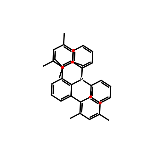 Cc1cc(C)c(-c2cccc(-c3c(C)cc(C)cc3C)c2P(c2ccccc2)c2ccccc2N(C)C)c(C)c1